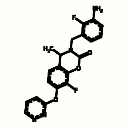 CC1c2ccc(Oc3cccnn3)c(F)c2OC(=O)N1Cc1cccc(N)c1F